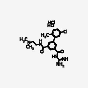 Cc1ccc(Cl)cc1-c1cc(C(=O)NCCN(C)C)cc(C(=O)NC(=N)N)c1.Cl.Cl